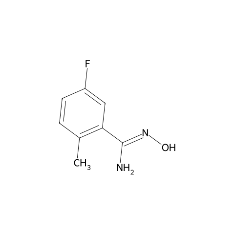 Cc1ccc(F)cc1/C(N)=N/O